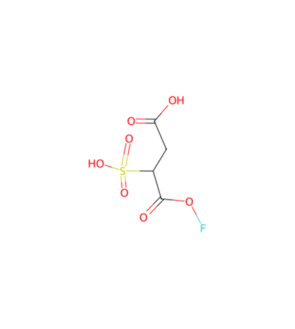 O=C(O)CC(C(=O)OF)S(=O)(=O)O